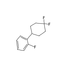 Fc1ccccc1C1CCC(F)(F)CC1